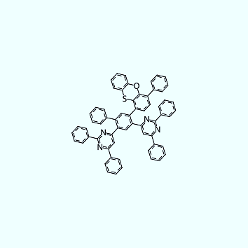 c1ccc(-c2cc(-c3cc(-c4cc(-c5ccccc5)nc(-c5ccccc5)n4)c(-c4ccc(-c5ccccc5)c5c4Sc4ccccc4O5)cc3-c3ccccc3)nc(-c3ccccc3)n2)cc1